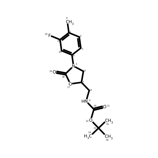 Cc1ccc(N2CC(CNC(=O)OC(C)(C)C)OC2=O)cc1F